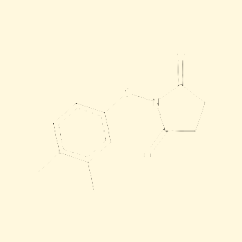 Cc1ccc(SN2C(=O)CCC2=O)cc1C